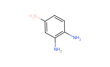 Bc1ccc(N)c(N)c1